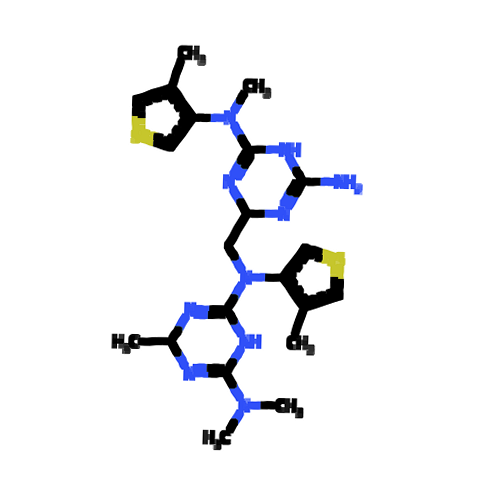 Cc1cscc1N(C)C1=NC(CN(C2=NC(C)N=C(N(C)C)N2)c2cscc2C)N=C(N)N1